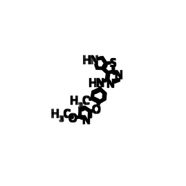 COc1ccc(Oc2ccc(Nc3ncnc4sc5c(c34)CNC5)cc2C)cn1